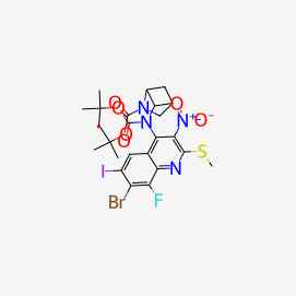 CSc1nc2c(F)c(Br)c(I)cc2c(N(C(=O)OC(C)(C)C)C2C3CC2N(C(=O)OC(C)(C)C)C3)c1[N+](=O)[O-]